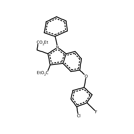 CCOC(=O)Cc1c(C(=O)OCC)c2cc(Oc3ccc(Cl)c(F)c3)ccc2n1-c1ccccc1